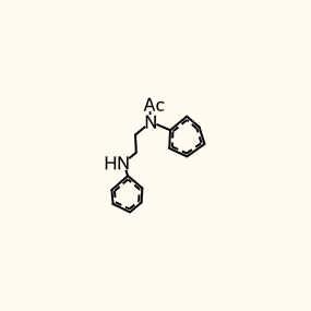 CC(=O)N(CCNc1ccccc1)c1ccccc1